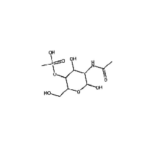 CC(=O)NC1C(O)OC(CO)C(OP(C)(=O)O)C1O